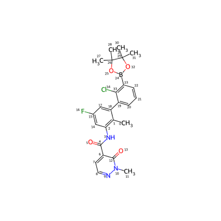 Cc1c(NC(=O)c2ccnn(C)c2=O)cc(F)cc1-c1cccc(B2OC(C)(C)C(C)(C)O2)c1Cl